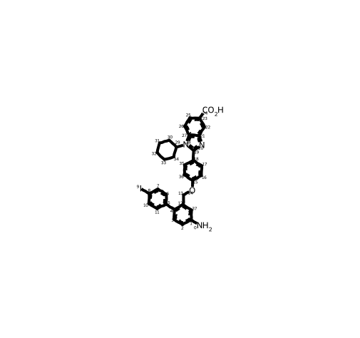 Nc1ccc(-c2ccc(I)cc2)c(COc2ccc(-c3nc4cc(C(=O)O)ccc4n3C3CCCCC3)cc2)c1